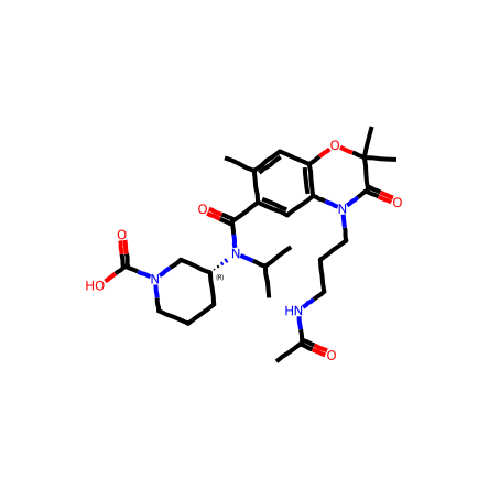 CC(=O)NCCCN1C(=O)C(C)(C)Oc2cc(C)c(C(=O)N(C(C)C)[C@@H]3CCCN(C(=O)O)C3)cc21